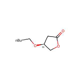 CCCCCO[C@@H]1COC(=O)C1